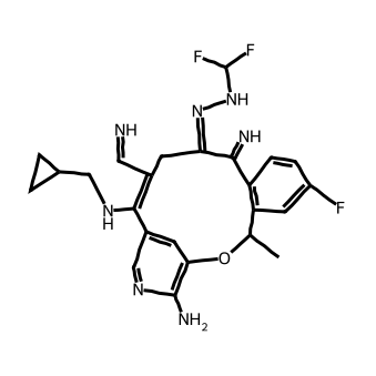 CC1Oc2cc(cnc2N)/C(NCC2CC2)=C(/C=N)C/C(=N/NC(F)F)C(=N)c2ccc(F)cc21